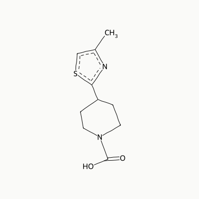 Cc1csc(C2CCN(C(=O)O)CC2)n1